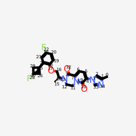 Cc1cn(-c2ccc3n(c2=O)CCN([C@@H](C)COc2ccc(F)cc2C24CC(F)(C2)C4)C3=O)cn1